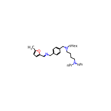 CCCCCCN(CCCCN(CCC)CCC)Cc1ccc(CN=Cc2ccc(C)o2)cc1